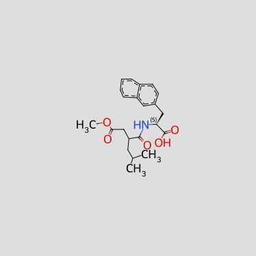 COC(=O)CC(CC(C)C)C(=O)N[C@@H](Cc1ccc2ccccc2c1)C(=O)O